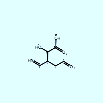 N=CC(CC=O)C(O)C(=O)O